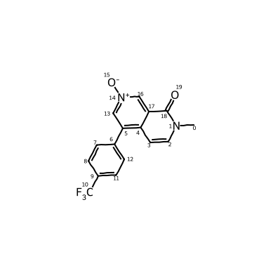 Cn1ccc2c(-c3ccc(C(F)(F)F)cc3)c[n+]([O-])cc2c1=O